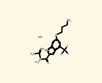 CN(C(=N)N)C(=O)c1cc2c(C(F)(F)F)cc(OCCCN)cc2[nH]1.Cl